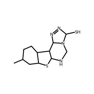 CC1CCC2C(C1)SC1NCN3C(S)N=NC3C12